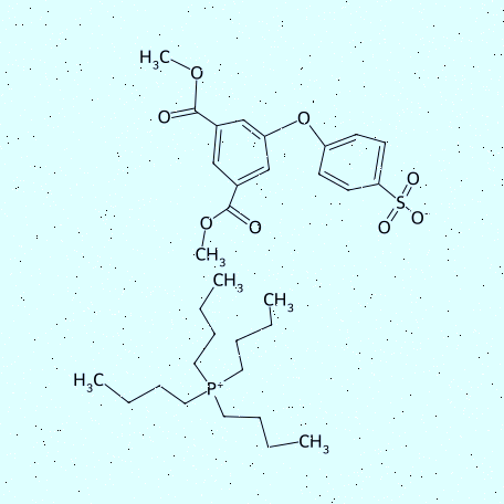 CCCC[P+](CCCC)(CCCC)CCCC.COC(=O)c1cc(Oc2ccc(S(=O)(=O)[O-])cc2)cc(C(=O)OC)c1